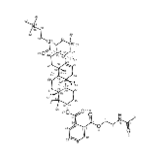 CC(=O)NCCOC(=O)c1ccccc1C(=O)O[C@H]1CC[C@]2(C)[C@H]3CC=C4[C@@H]5CC(C)(C)CC[C@]5(C(=O)OCC[N+](C)(C)C)CC[C@@]4(C)[C@]3(C)CC[C@H]2C1(C)C